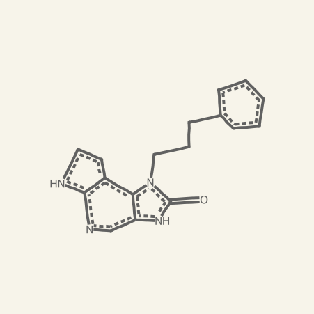 O=c1[nH]c2cnc3[nH]ccc3c2n1CCCc1ccccc1